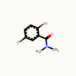 CN(C)C(=O)c1cc(Cl)ccc1S